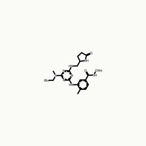 CONC(=O)c1ccc(C)c(Nc2nc(NCC3CCC(=O)N3)nc(N(C)CC(C)(C)C)n2)c1